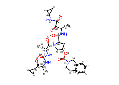 CCCCC(NC(=O)[C@@H]1C[C@@H](OC(=O)N2CCc3ccccc3C2)CN1C(=O)[C@@H](NC(=O)N[C@H](C(=O)C1CC1)C(C)C)C(C)(C)C)C(=O)C(=O)NC1CC1